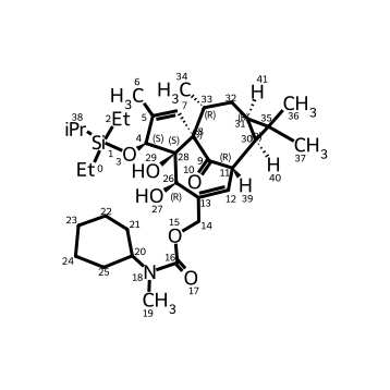 CC[Si](CC)(O[C@H]1C(C)=C[C@]23C(=O)[C@@H](C=C(COC(=O)N(C)C4CCCCC4)[C@@H](O)[C@]12O)[C@H]1[C@@H](C[C@H]3C)C1(C)C)C(C)C